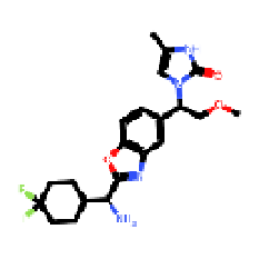 COCC(c1ccc2oc([C@@H](N)C3CCC(F)(F)CC3)nc2c1)n1cc(C)[nH]c1=O